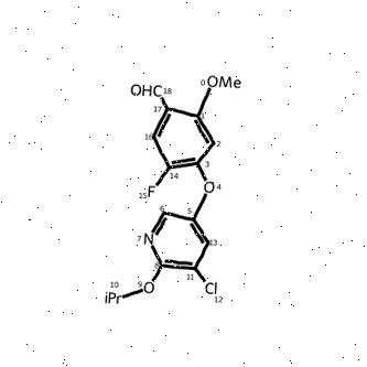 COc1cc(Oc2cnc(OC(C)C)c(Cl)c2)c(F)cc1C=O